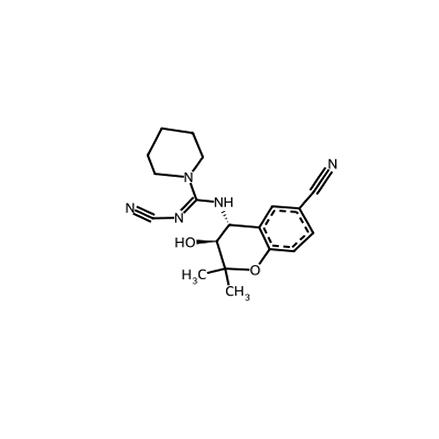 CC1(C)Oc2ccc(C#N)cc2[C@@H](NC(=NC#N)N2CCCCC2)[C@@H]1O